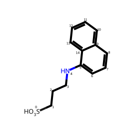 O=S(=O)(O)CCCNc1cccc2ccccc12